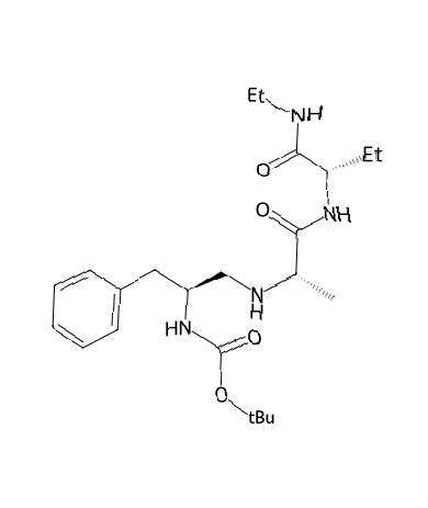 CCNC(=O)[C@H](CC)NC(=O)[C@H](C)NC[C@H](Cc1ccccc1)NC(=O)OC(C)(C)C